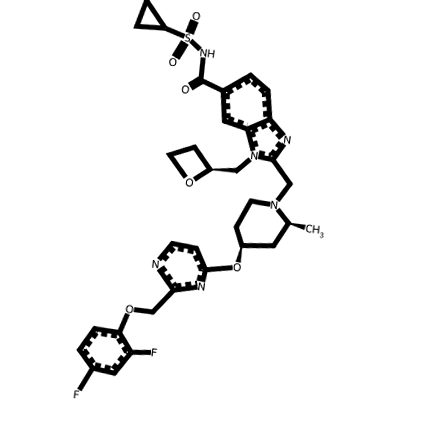 C[C@H]1C[C@@H](Oc2ccnc(COc3ccc(F)cc3F)n2)CCN1Cc1nc2ccc(C(=O)NS(=O)(=O)C3CC3)cc2n1C[C@@H]1CCO1